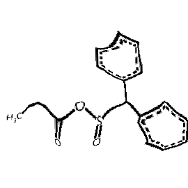 CCC(=O)OS(=O)C(c1ccccc1)c1ccccc1